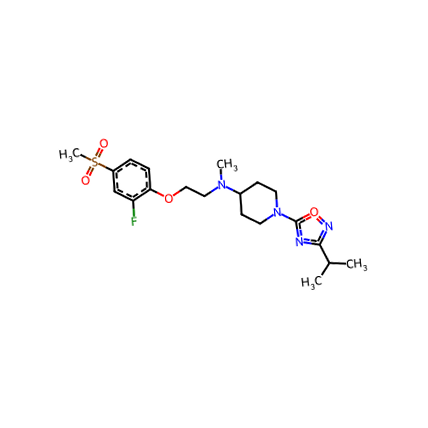 CC(C)c1noc(N2CCC(N(C)CCOc3ccc(S(C)(=O)=O)cc3F)CC2)n1